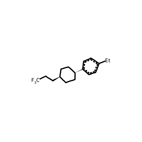 CCc1ccc([C@H]2CC[C@H](CCC(F)(F)F)CC2)cc1